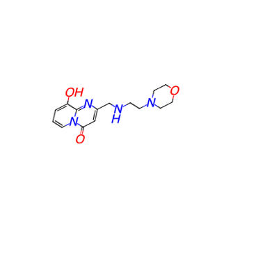 O=c1cc(CNCCN2CCOCC2)nc2c(O)cccn12